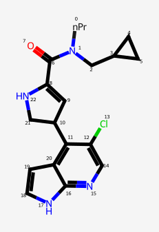 CCCN(CC1CC1)C(=O)C1=CC(c2c(Cl)cnc3[nH]ccc23)CN1